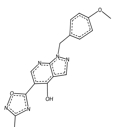 COc1ccc(Cn2ncc3c(O)c(-c4nc(C)no4)cnc32)cc1